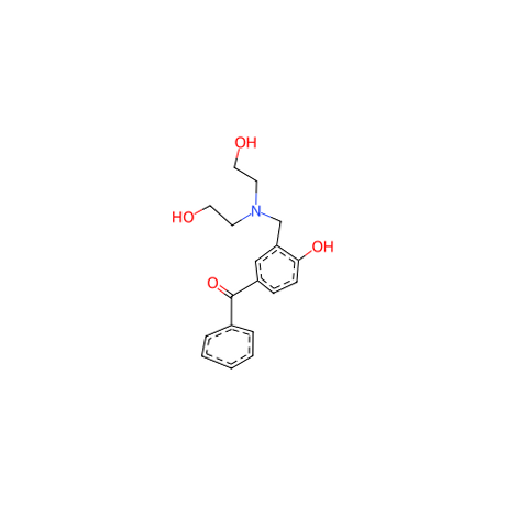 O=C(c1ccccc1)c1ccc(O)c(CN(CCO)CCO)c1